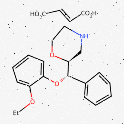 CCOc1ccccc1O[C@@H](c1ccccc1)[C@@H]1CNCCO1.O=C(O)C=CC(=O)O